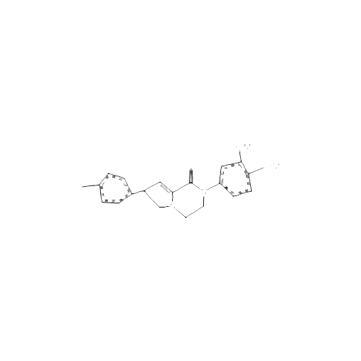 COc1ccc(N2CCN3CC(c4ccc(Cl)cc4)C=C3C2=O)cc1OC